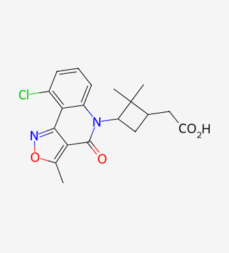 Cc1onc2c1c(=O)n(C1CC(CC(=O)O)C1(C)C)c1cccc(Cl)c21